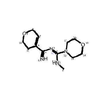 CN/C(=N\C(=N)C1=CCOCC1)N1CCOCC1